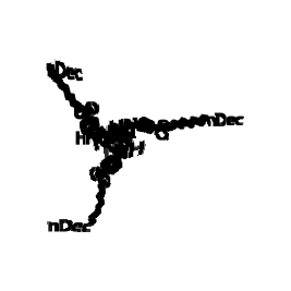 CCCCCCCCCCCCCCCCCCOC(=O)c1ccc(NC2=NC3=NC(Nc4ccc(C(=O)OCCCCCCCCCCCCCCCCCC)cc4)=NC4=NC(Nc5ccc(C(=O)OCCCCCCCCCCCCCCCCCC)cc5)=NC(=N2)N34)cc1